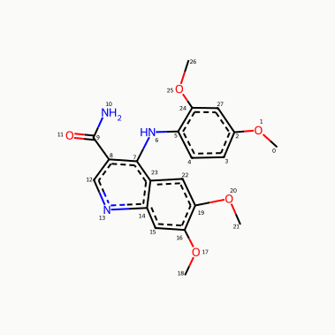 COc1ccc(Nc2c(C(N)=O)cnc3cc(OC)c(OC)cc23)c(OC)c1